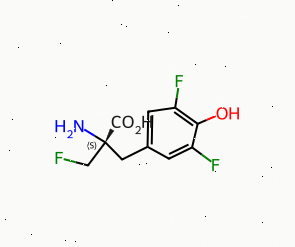 N[C@@](CF)(Cc1cc(F)c(O)c(F)c1)C(=O)O